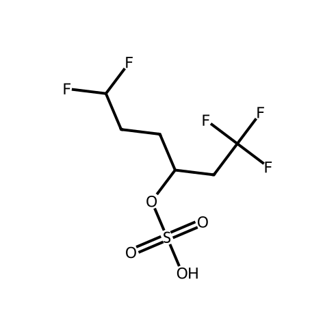 O=S(=O)(O)OC(CCC(F)F)CC(F)(F)F